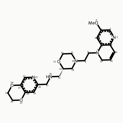 COc1cnc2c(c1)N(CCN1CCO[C@@H](CNCc3cc4c(cn3)OCCO4)C1)CC=C2